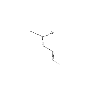 CC=CCC(C)[S]